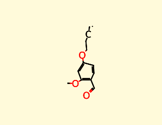 [CH2]CCCOc1ccc(C=O)c(OC)c1